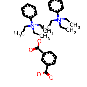 CC[N+](CC)(CC)c1ccccc1.CC[N+](CC)(CC)c1ccccc1.O=C([O-])c1cccc(C(=O)[O-])c1